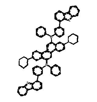 c1ccc(N(c2cccc(-c3cccc4c3sc3ccccc34)c2)c2cc3c4ccc(C5CCCCC5)cc4c(N(c4ccccc4)c4cccc(-c5cccc6c5sc5ccccc56)c4)cc3c3ccc(C4CCCCC4)cc23)cc1